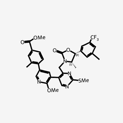 COC(=O)c1ccc(-c2cnc(OC)c(-c3cnc(SC)nc3CN3C(=O)O[C@H](c4cc(C)cc(C(F)(F)F)c4)[C@@H]3C)c2)c(C)c1